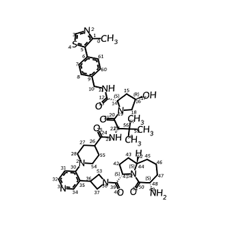 Cc1ncsc1-c1ccc(CNC(=O)[C@@H]2C[C@@H](O)CN2C(=O)[C@@H](NC(=O)C2CCN(c3ccncc3C3CN(C(=O)[C@@H]4CC[C@@H]5CCC[C@H](N)C(=O)N54)C3)CC2)C(C)(C)C)cc1